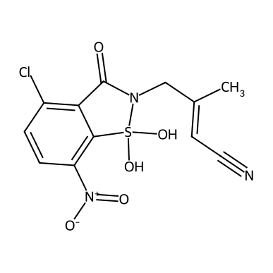 CC(=CC#N)CN1C(=O)c2c(Cl)ccc([N+](=O)[O-])c2S1(O)O